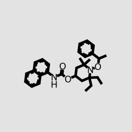 CCC1(CC)CC(OC(=O)Nc2cccc3ccccc23)CC(C)(C)N1OC(C)c1ccccc1